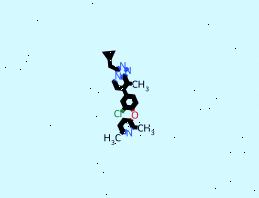 Cc1ccc(Oc2ccc(-c3ccn4c(CC5CC5)nnc4c3C)cc2Cl)c(C)n1